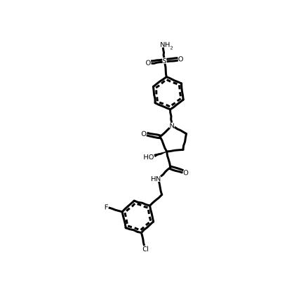 NS(=O)(=O)c1ccc(N2CC[C@](O)(C(=O)NCc3cc(F)cc(Cl)c3)C2=O)cc1